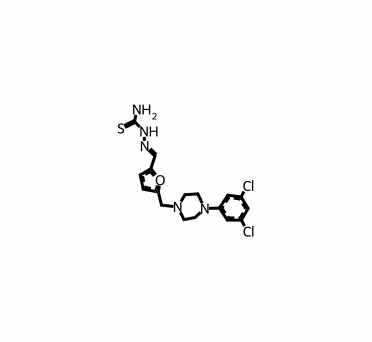 NC(=S)N/N=C/c1ccc(CN2CCN(c3cc(Cl)cc(Cl)c3)CC2)o1